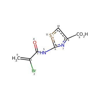 C=C(Br)C(=O)Nc1nc(C(=O)O)cs1